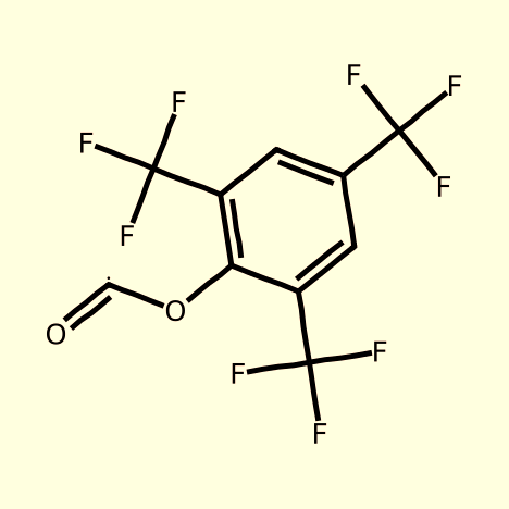 O=[C]Oc1c(C(F)(F)F)cc(C(F)(F)F)cc1C(F)(F)F